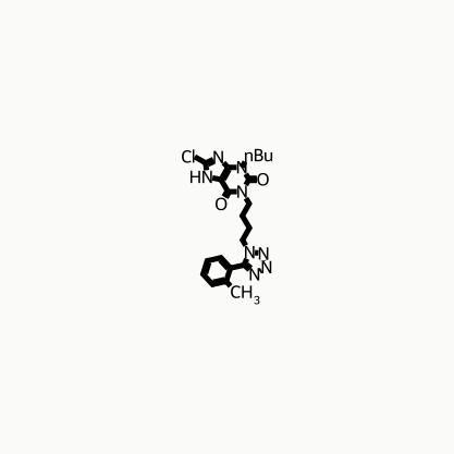 CCCCn1c(=O)n(CCCCn2nnnc2-c2ccccc2C)c(=O)c2[nH]c(Cl)nc21